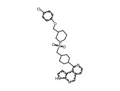 O=S(=O)(CC1CCC(c2nccc3cnc4[nH]ccc4c23)CC1)N1CCCC(COc2ccc(Cl)cc2)C1